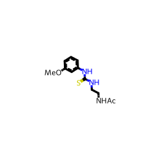 COc1cccc(NC(=S)NCCNC(C)=O)c1